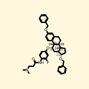 CN(C)CCC(=O)Nc1ccc(O[C@H]2C[C@]3(C)[C@@H](OCc4ccccc4)CC[C@H]3[C@@H]3CCc4cc(OCc5ccccc5)ccc4[C@H]32)cc1F